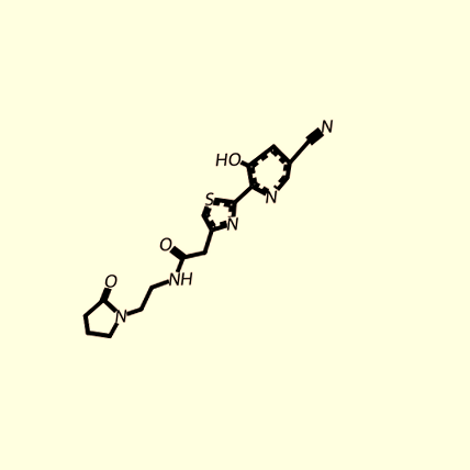 N#Cc1cnc(-c2nc(CC(=O)NCCN3CCCC3=O)cs2)c(O)c1